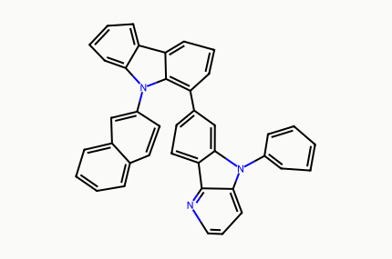 c1ccc(-n2c3cc(-c4cccc5c6ccccc6n(-c6ccc7ccccc7c6)c45)ccc3c3ncccc32)cc1